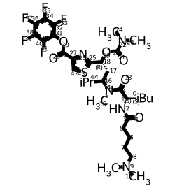 CC[C@H](C)[C@H](NC(=O)CCCCN(C)C)C(=O)N(C)C(C[C@@H](OC(=O)N(C)C)c1nc(C(=O)Oc2c(F)c(F)c(F)c(F)c2F)cs1)C(C)C